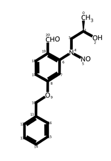 C[C@@H](O)CN(N=O)c1cc(OCc2ccccc2)ccc1C=O